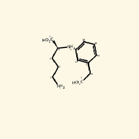 NCCC[C@H](N)C(=O)O.O=C(O)Cc1ccccc1